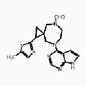 Cc1cnc(C2CC23CN(C=O)CCN(c2ncnc4[nH]ccc24)C3)s1